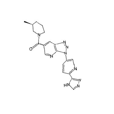 C[C@H]1CCCN(C(=O)c2cnc3c(c2)nnn3-c2ccc(-c3nnc[nH]3)nc2)C1